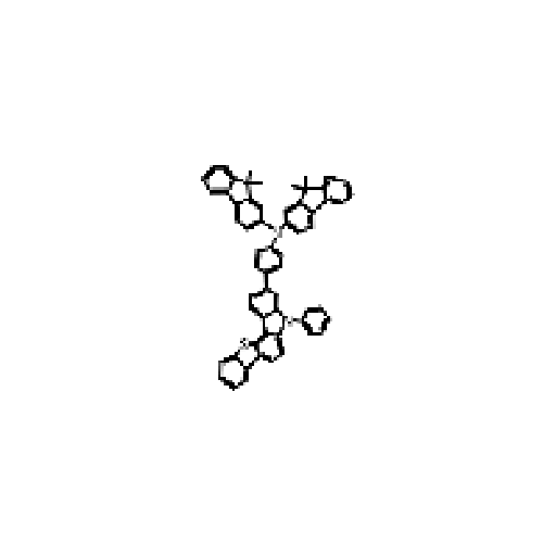 CC1(C)c2ccccc2-c2ccc(N(c3ccc(-c4ccc5c6c7sc8ccccc8c7ccc6n(-c6ccccc6)c5c4)cc3)c3ccc4c(c3)C(C)(C)c3ccccc3-4)cc21